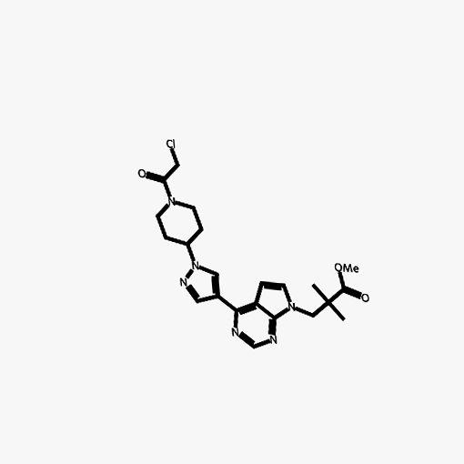 COC(=O)C(C)(C)Cn1ccc2c(-c3cnn(C4CCN(C(=O)CCl)CC4)c3)ncnc21